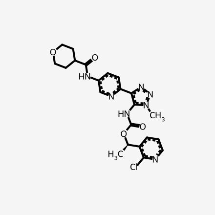 C[C@@H](OC(=O)Nc1c(-c2ccc(NC(=O)C3CCOCC3)cn2)nnn1C)c1cccnc1Cl